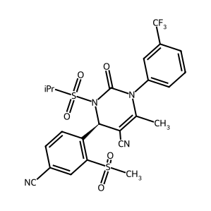 CC1=C(C#N)[C@@H](c2ccc(C#N)cc2S(C)(=O)=O)N(S(=O)(=O)C(C)C)C(=O)N1c1cccc(C(F)(F)F)c1